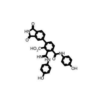 N=C(Nc1ccc(O)cc1)c1c(C(=O)Nc2ccc(O)cc2)ccc(-c2ccc3c(c2)C(=O)NC3=O)c1C(=O)O